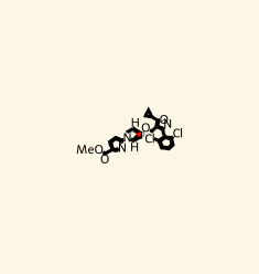 COC(=O)c1ccc(N2C[C@@H]3C[C@H]2C[C@H]3OCc2c(-c3c(Cl)cccc3Cl)noc2C2CC2)nc1